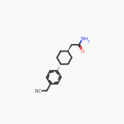 N#CCc1ccc([C@H]2CC[C@H](CC(N)=O)CC2)cc1